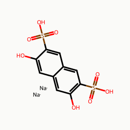 O=S(=O)(O)c1cc2cc(S(=O)(=O)O)c(O)cc2cc1O.[Na].[Na]